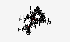 CC[C@H](C)[C@@H]1NCC(=O)CNC(=O)[C@@H]2Cc3c([nH]c4ccc(NC(=O)CCNC(=O)CN(C(=O)CCl)N(CC(=O)O)C(=O)CCl)cc34)SC[C@H](NC(=O)CNC1=O)C(=O)N[C@@H](CC(=O)OC)C(=O)N1CCC[C@H]1C(=O)N[C@@H]([C@@H](C)CC)C(=O)N2